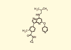 Cc1cc(-c2cnn3c(NCC(C)C)cc(Oc4ccncc4)nc23)ccc1C(=O)NC1CC1